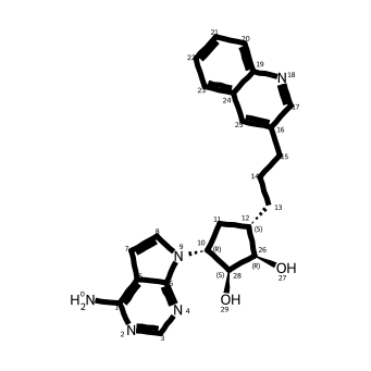 Nc1ncnc2c1ccn2[C@@H]1C[C@H](CCCc2cnc3ccccc3c2)[C@@H](O)[C@H]1O